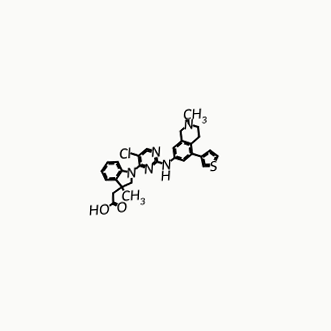 CN1CCc2c(cc(Nc3ncc(Cl)c(N4CC(C)(CC(=O)O)c5ccccc54)n3)cc2-c2ccsc2)C1